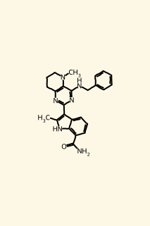 Cc1[nH]c2c(C(N)=O)cccc2c1-c1nc2c(c(NCc3ccccc3)n1)N(C)CCC2